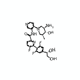 C[C@H]1CN(c2ccncc2NC(=O)c2ccc(F)c(-c3c(F)cc([C@H](O)CO)cc3F)n2)C[C@@H](N)[C@@H]1O